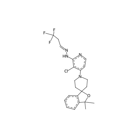 CC1(C)OC2(CCN(c3ccnc(N/N=C/CC(F)(F)F)c3Cl)CC2)c2ccccc21